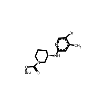 Cc1cc(N[C@@H]2CCCN(C(=O)OC(C)(C)C)C2)ncc1Br